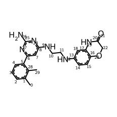 Cc1cccc(-c2cc(NCCNc3ccc4c(c3)NC(=O)CO4)nc(N)n2)c1C